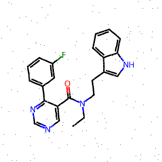 CCN(CCc1c[nH]c2ccccc12)C(=O)c1cncnc1-c1cccc(F)c1